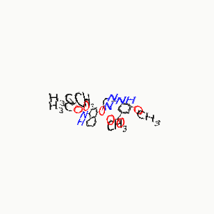 COC(=O)c1cc(Nc2nccc(Oc3ccc(NC(=O)OC(C)(C)C)c4ccccc34)n2)cc(OC)c1